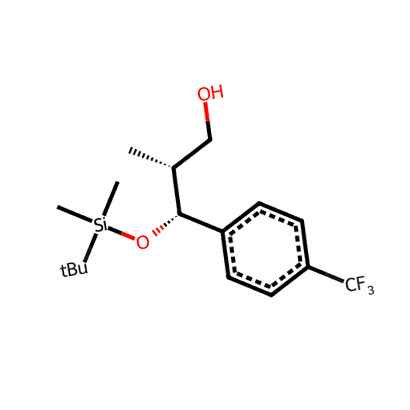 C[C@H](CO)[C@@H](O[Si](C)(C)C(C)(C)C)c1ccc(C(F)(F)F)cc1